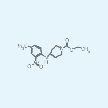 CCOC(=O)N1CCC(Nc2ccc(C)cc2[N+](=O)[O-])CC1